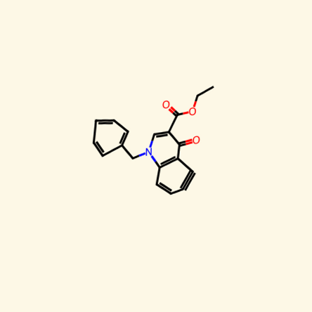 CCOC(=O)c1cn(Cc2ccccc2)c2ccc#cc2c1=O